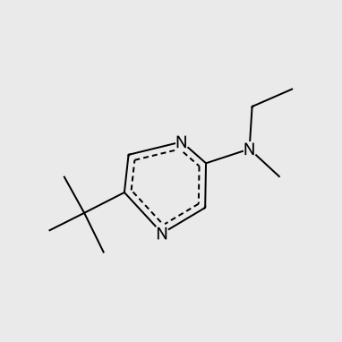 CCN(C)c1cnc(C(C)(C)C)cn1